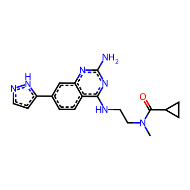 CN(CCNc1nc(N)nc2cc(-c3ccn[nH]3)ccc12)C(=O)C1CC1